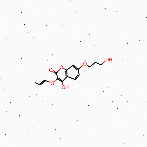 CC=COc1c(O)c2ccc(OCCCO)cc2oc1=O